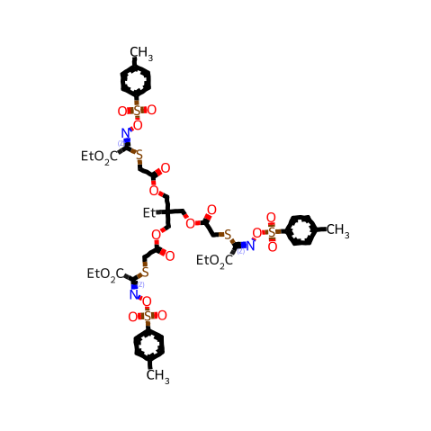 CCOC(=O)/C(=N/OS(=O)(=O)c1ccc(C)cc1)SCC(=O)OCC(CC)(COC(=O)CS/C(=N\OS(=O)(=O)c1ccc(C)cc1)C(=O)OCC)COC(=O)CS/C(=N\OS(=O)(=O)c1ccc(C)cc1)C(=O)OCC